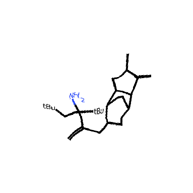 C=C(CC1CC2CC1C1CC(C)C(C)C21)C(N)(CC(C)(C)C)C(C)(C)C